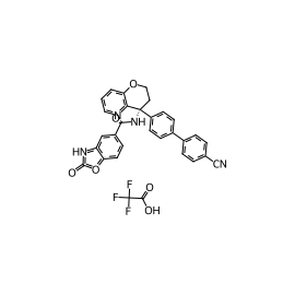 N#Cc1ccc(-c2ccc([C@]3(NC(=O)c4ccc5oc(=O)[nH]c5c4)CCOc4cccnc43)cc2)cc1.O=C(O)C(F)(F)F